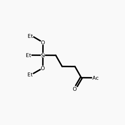 CCO[Si](CC)(CCCC(=O)C(C)=O)OCC